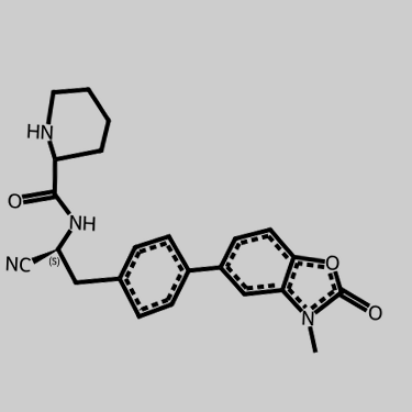 Cn1c(=O)oc2ccc(-c3ccc(C[C@@H](C#N)NC(=O)C4CCCCN4)cc3)cc21